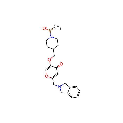 C[S+]([O-])N1CCC(COc2coc(CN3Cc4ccccc4C3)cc2=O)CC1